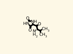 CC(C)[C@H](N)C(=O)C1NC(=O)NC1=O